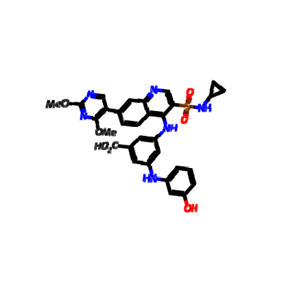 COc1ncc(-c2ccc3c(Nc4cc(Nc5cccc(O)c5)cc(C(=O)O)c4)c(S(=O)(=O)NC4CC4)cnc3c2)c(OC)n1